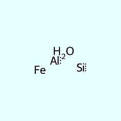 O.[Al].[Fe].[Si]